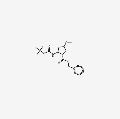 COC1CC(NC(=O)OC(C)(C)C)N(C(=O)OCc2ccccc2)C1